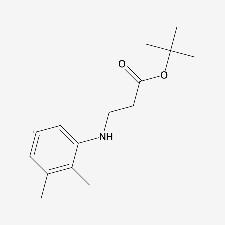 Cc1c[c]cc(NCCC(=O)OC(C)(C)C)c1C